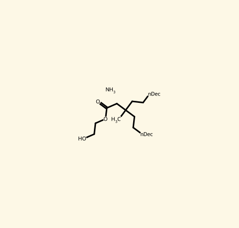 CCCCCCCCCCCCC(C)(CCCCCCCCCCCC)CC(=O)OCCO.N